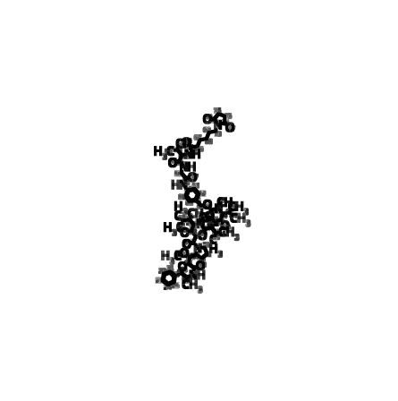 CC[C@H](C)[C@@H]([C@@H](CC(=O)N1CCC[C@H]1[C@H](OC)[C@H]1O[C@@H](c2ccccc2)[C@@H](C)NC1=O)OC)N(C)C(=O)[C@H](NC(=O)[C@H](C(C)C)N(C)C(=O)OCc1ccc(NC(=O)CNC(=O)C(NC(=O)CCCCCN2C(=O)CCC2=O)C(C)C)cc1)C(C)C